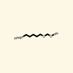 [CH2]CCOCOCCCCCCCCCCCC